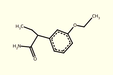 CCOc1cccc(C(CC)C(N)=O)c1